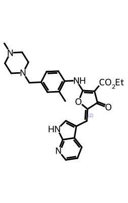 CCOC(=O)C1=C(Nc2ccc(CN3CCN(C)CC3)cc2C)O/C(=C\c2c[nH]c3ncccc23)C1=O